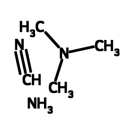 C#N.CN(C)C.N